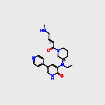 CCN(c1cc(-c2ccncc2)c[nH]c1=O)[C@@H]1CCCN(C(=O)/C=C/CNC)C1